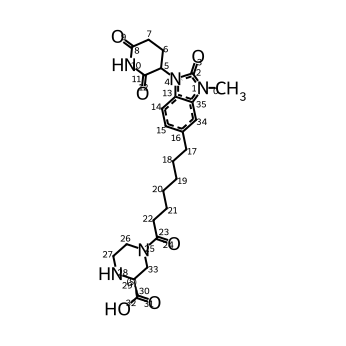 Cn1c(=O)n(C2CCC(=O)NC2=O)c2ccc(CCCCCCC(=O)N3CCN[C@H](C(=O)O)C3)cc21